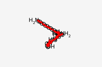 CCc1c2c(nc3ccc(OCCCNC(=O)OCc4ccc(NC(=O)[C@H](CCCNC(N)=O)NC(=O)C(NC(=O)CCOCCOCCOCCOCCOCCOCCOCCOCCOCCOCCOCCN)C(C)C)cc4)cc13)-c1cc3c(c(=O)n1C2)COC(=O)[C@]3(O)CC